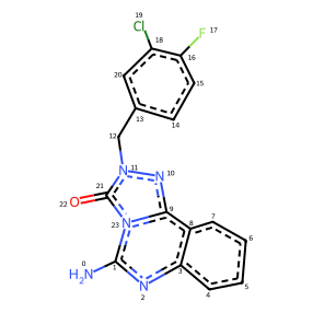 Nc1nc2ccccc2c2nn(Cc3ccc(F)c(Cl)c3)c(=O)n12